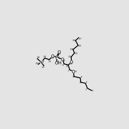 CCCCCCOCC(COP(=O)(O)OCC[N+](C)(C)C)OCCCCCC